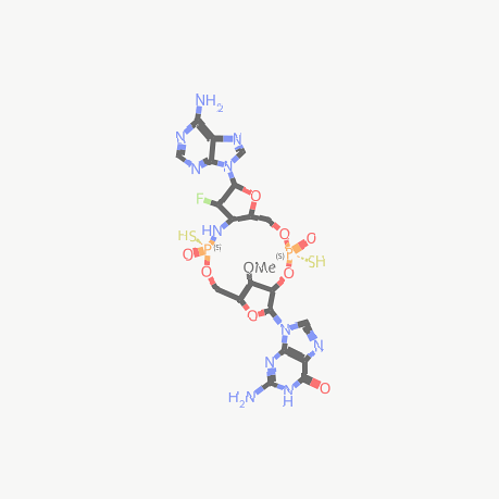 COC1C2CO[P@](=O)(S)NC3C(CO[P@](=O)(S)OC1C(n1cnc4c(=O)[nH]c(N)nc41)O2)OC(n1cnc2c(N)ncnc21)C3F